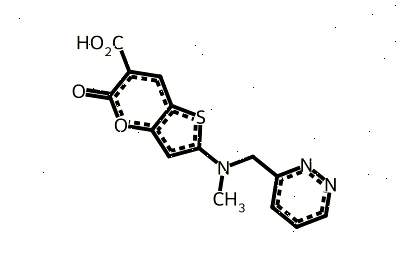 CN(Cc1cccnn1)c1cc2oc(=O)c(C(=O)O)cc2s1